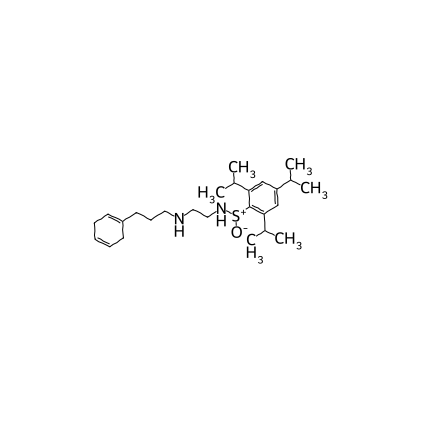 CC(C)c1cc(C(C)C)c([S+]([O-])NCCNCCCC2=CCC=CC2)c(C(C)C)c1